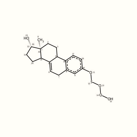 C[C@]12CCC3C(=CCc4cc(OSOOO)ccc43)C1CC[C@@H]2O